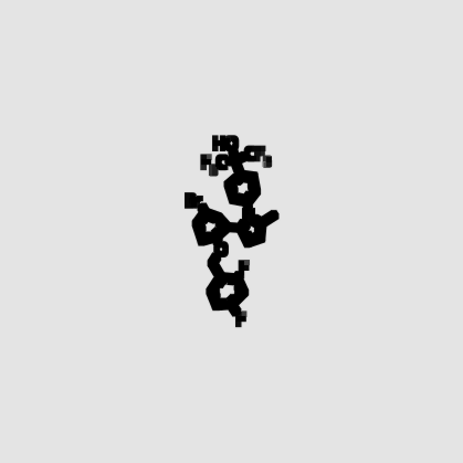 Cc1ccc(-c2cc(Br)ccc2OCc2ccc(F)cc2F)n1-c1ccc(C(O)(C(F)(F)F)C(F)(F)F)cc1